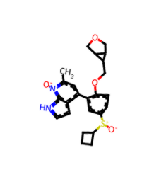 Cc1cc(-c2cc([S+]([O-])C3CCC3)ccc2OCC2C3COCC32)c2cc[nH]c2[n+]1[O-]